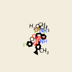 Cc1cc(F)ccc1Oc1cc(C2CC2)c(C)cc1C(=O)Nc1ccc(F)c(C(N[S+]([O-])C(C)(C)C)C(F)C(=O)O)c1